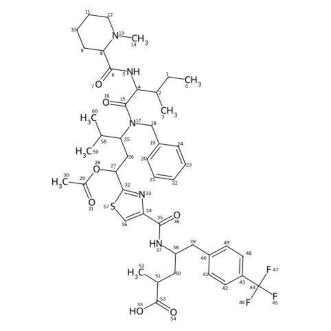 CCC(C)C(NC(=O)C1CCCCN1C)C(=O)N(Cc1ccccc1)C(CC(OC(C)=O)c1nc(C(=O)NC(Cc2ccc(C(F)(F)F)cc2)CC(C)C(=O)O)cs1)C(C)C